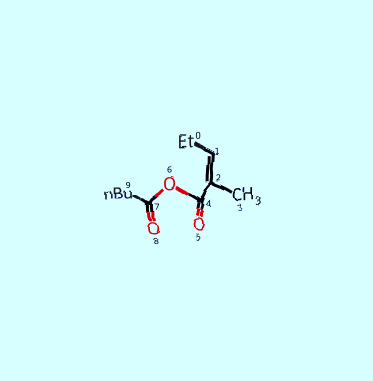 CCC=C(C)C(=O)OC(=O)CCCC